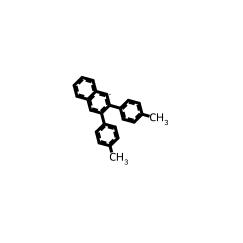 Cc1ccc(-c2[c]c3ccccc3cc2-c2ccc(C)cc2)cc1